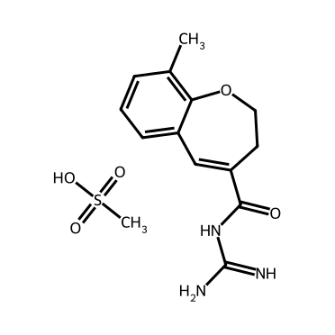 CS(=O)(=O)O.Cc1cccc2c1OCCC(C(=O)NC(=N)N)=C2